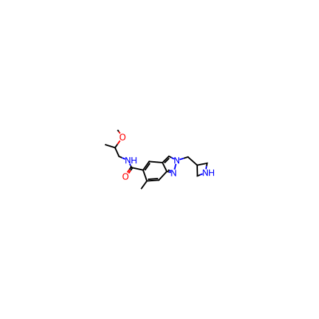 COC(C)CNC(=O)c1cc2cn(CC3CNC3)nc2cc1C